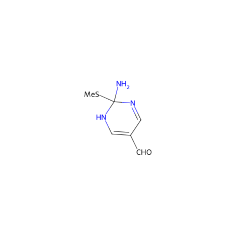 CSC1(N)N=CC(C=O)=CN1